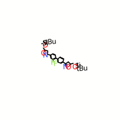 CC(C)(C)[Si](C)(C)OCC1CC(c2ccc(-c3ccc(C4=NOC(CO[Si](C)(C)C(C)(C)C)C4)cc3F)c(F)c2)=NO1